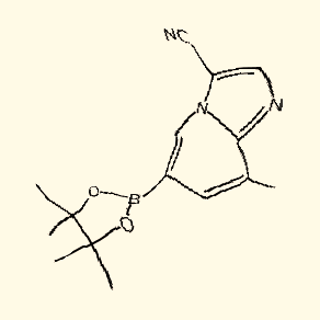 Cc1cc(B2OC(C)(C)C(C)(C)O2)cn2c(C#N)cnc12